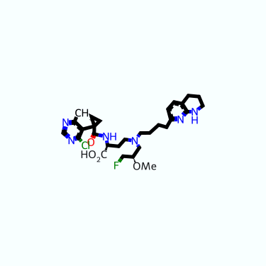 CO[C@H](CF)CN(CCCCc1ccc2c(n1)NCCC2)CC[C@H](NC(=O)C1(c2c(C)ncnc2Cl)CC1)C(=O)O